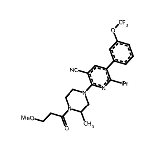 COCCC(=O)N1CCN(c2nc(C(C)C)c(-c3cccc(OC(F)(F)F)c3)cc2C#N)CC1C